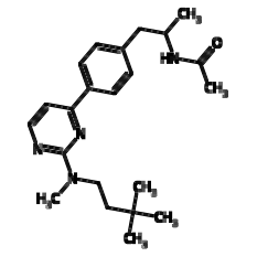 CC(=O)NC(C)Cc1ccc(-c2ccnc(N(C)CCC(C)(C)C)n2)cc1